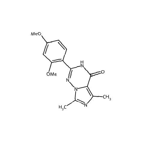 COc1ccc(-c2nn3c(C)nc(C)c3c(=O)[nH]2)c(OC)c1